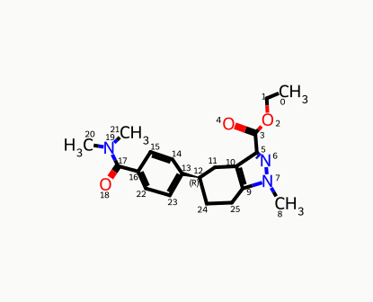 CCOC(=O)c1nn(C)c2c1C[C@H](c1ccc(C(=O)N(C)C)cc1)CC2